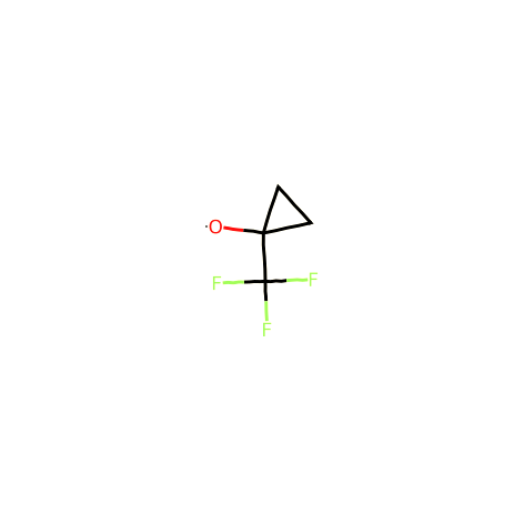 [O]C1(C(F)(F)F)CC1